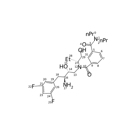 CCCN(CCC)C(=O)c1cccc(C(=O)N(C[C@@H](O)[C@@H](N)Cc2cc(F)cc(F)c2)[C@H](CC)CO)c1